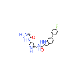 C[C@@H](N)C(=O)NC1CN[C@H](CNC(=O)c2cc3ccc(-c4ccc(F)cc4)cc3[nH]2)C1